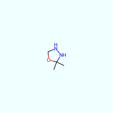 CC1(C)NNCO1